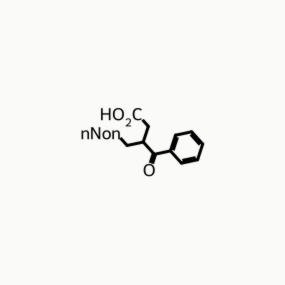 CCCCCCCCCCC(CC(=O)O)C(=O)c1ccccc1